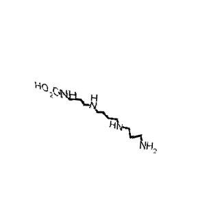 NCCCNCCCCNCCCNC(=O)O